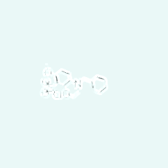 COc1ccc2c(c1S(=O)(=O)Cl)OCCN2Cc1ccccc1